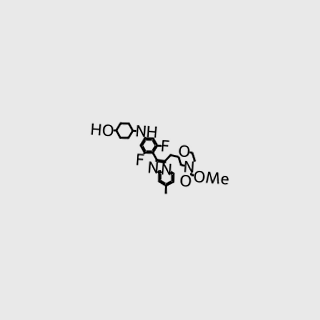 COC(=O)N1CCOC(Cc2c(-c3c(F)cc(NC4CCC(O)CC4)cc3F)nc3cc(C)ccn23)C1